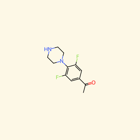 CC(=O)c1cc(F)c(N2CCNCC2)c(F)c1